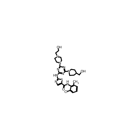 Cc1cccc(Cl)c1NC(=O)c1cnc(Nc2nc(N3CCC(CO)CC3)nc(N3CCN(CCO)CC3)n2)s1